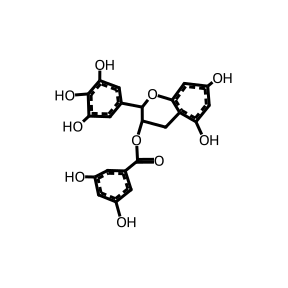 O=C(OC1Cc2c(O)cc(O)cc2OC1c1cc(O)c(O)c(O)c1)c1cc(O)cc(O)c1